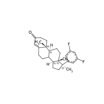 C[C@]12CCC(=O)C=C1CCC1[C@@H]2CC[C@@]2(C)[C@H]1CC[C@]2(C)c1cc(F)cc(F)c1